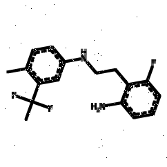 Cc1ccc(NCCc2c(N)cccc2F)cc1C(C)(F)F